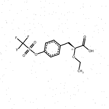 CCO[C@@H](Cc1ccc(OS(=O)(=O)C(F)(F)F)cc1)C(=O)O